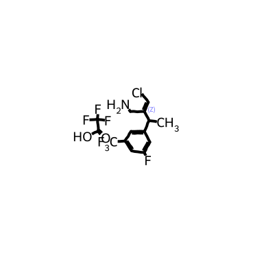 CC(/C(=C/Cl)CN)c1cc(F)cc(C(F)(F)F)c1.O=C(O)C(F)(F)F